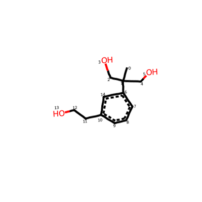 CC(CO)(CO)c1cccc(CCO)c1